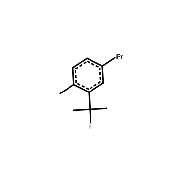 Cc1ccc(C(C)C)cc1C(C)(C)F